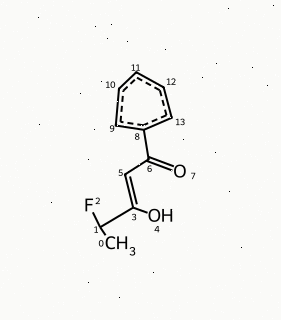 CC(F)C(O)=CC(=O)c1ccccc1